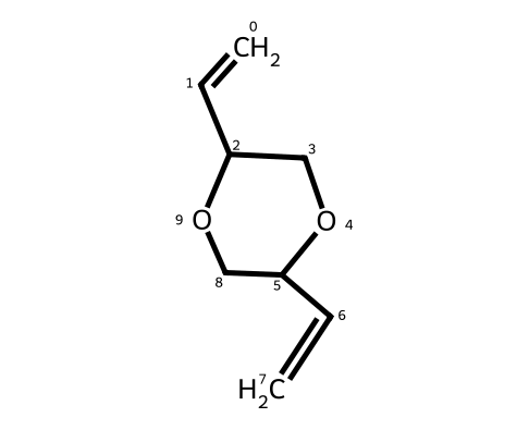 C=CC1COC(C=C)CO1